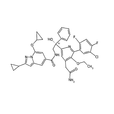 CCOc1c(CC(N)=O)cc([C@@](O)(CNC(=O)c2cc(OC3CC3)n3nc(C4CC4)cc3c2)c2ccccc2)nc1-c1cc(Cl)c(F)cc1F